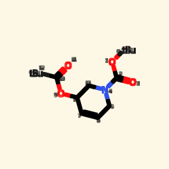 CC(C)(C)OC(=O)N1CC=CC(OC(=O)C(C)(C)C)C1